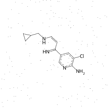 N=C(/C=C\NCC1CC1)c1cnc(N)c(Cl)c1